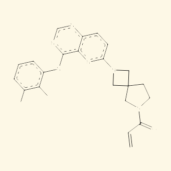 C=CC(=O)N1CCC2(C1)CN(c1ccc3ncnc(Nc4cccc(Cl)c4F)c3n1)C2